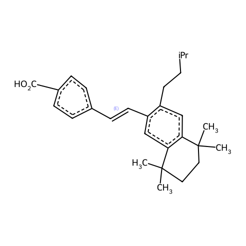 CC(C)CCc1cc2c(cc1/C=C/c1ccc(C(=O)O)cc1)C(C)(C)CCC2(C)C